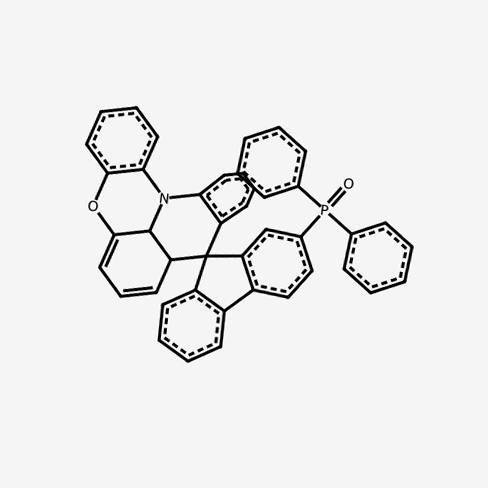 O=P(c1ccccc1)(c1ccccc1)c1ccc2c(c1)C1(c3ccccc3-2)c2ccccc2N2c3ccccc3OC3=CC=CC1C32